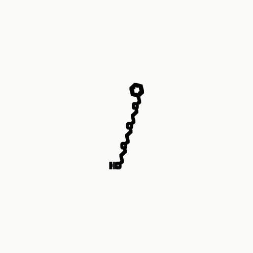 OCCCOCCCOCCCOCc1ccccc1